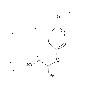 CC(C)C(CO)Oc1ccc(Cl)cc1